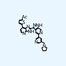 CC(=O)c1ccc(-c2ccnc3[nH]c(-c4n[nH]c5cnc(-c6cncc(CN7CCCC7)c6)cc45)nc23)s1